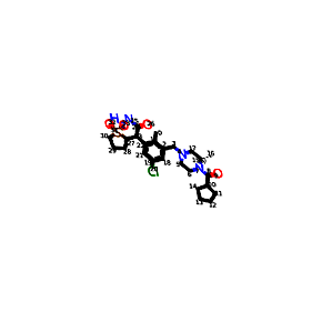 Cc1c(CN2CCN(C(=O)C3CCCC3)[C@@H](C)C2)cc(Cl)cc1C(C(N)=O)C1CCCS1(=O)=O